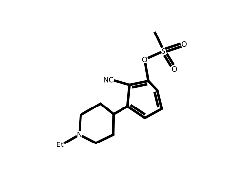 CCN1CCC(c2cccc(OS(C)(=O)=O)c2C#N)CC1